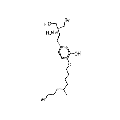 CC(C)CCCC(C)CCCCOc1ccc(CC[C@@](N)(CO)CC(C)C)cc1O